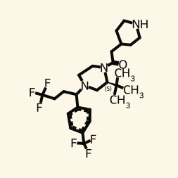 CC(C)(C)[C@H]1CN(C(CCC(F)(F)F)c2ccc(C(F)(F)F)cc2)CCN1C(=O)CC1CCNCC1